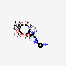 B[C@@H]1[C@@H](C)C(=O)[C@@H](C)C(=O)O[C@H](CC)[C@@](C)(OC#C)[C@H](NC/C=C/Cn2cc(-c3cccc(N)c3)nn2)[C@@H](C)N(C)C[C@H](C)C[C@@]1(C)OC